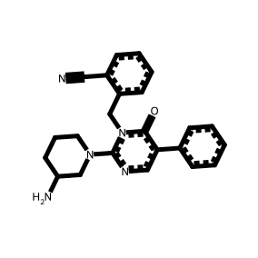 N#Cc1ccccc1Cn1c(N2CCCC(N)C2)ncc(-c2ccccc2)c1=O